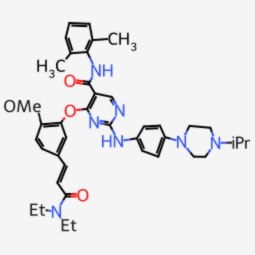 CCN(CC)C(=O)C=Cc1ccc(OC)c(Oc2nc(Nc3ccc(N4CCN(C(C)C)CC4)cc3)ncc2C(=O)Nc2c(C)cccc2C)c1